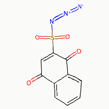 [N-]=[N+]=NS(=O)(=O)C1=CC(=O)c2ccccc2C1=O